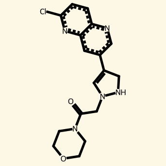 O=C(CN1C=C(c2cnc3ccc(Cl)nc3c2)CN1)N1CCOCC1